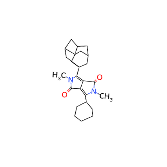 CN1C(=O)C2=C(C34CC5CC6CC(C3)C6(C5)C4)N(C)C(=O)C2=C1C1CCCCC1